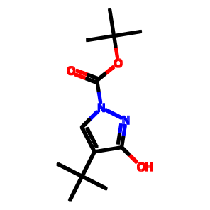 CC(C)(C)OC(=O)n1cc(C(C)(C)C)c(O)n1